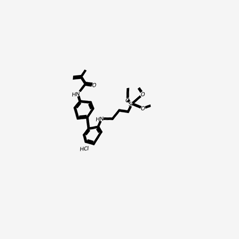 C=C(C)C(=O)Nc1ccc(-c2ccccc2NCCC[Si](OC)(OC)OC)cc1.Cl